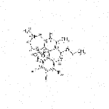 CCOC(=O)C1=C(C)NC2=C(C1c1c(F)c(F)c(F)c(F)c1F)S(=O)(=O)CCN(C)C2